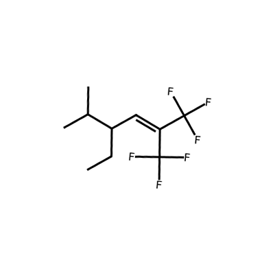 CCC(C=C(C(F)(F)F)C(F)(F)F)C(C)C